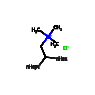 CCCCCCCC(CCCCCC)C[N+](C)(C)C.[Cl-]